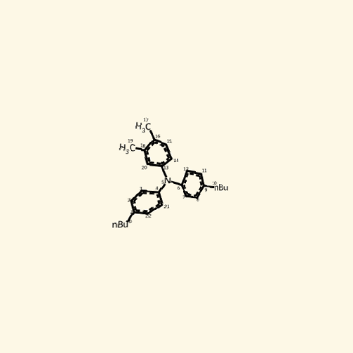 CCCCc1ccc(N(c2ccc(CCCC)cc2)c2ccc(C)c(C)c2)cc1